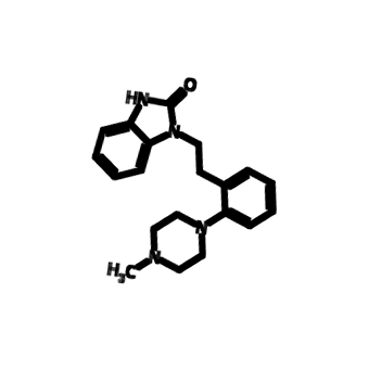 CN1CCN(c2ccccc2CCn2c(=O)[nH]c3ccccc32)CC1